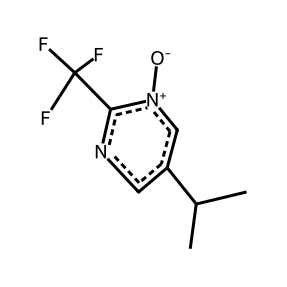 CC(C)c1cnc(C(F)(F)F)[n+]([O-])c1